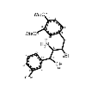 CCC(Cc1ccc(OC)c(OC)c1)C(N)C(O)c1cccc(Cl)c1